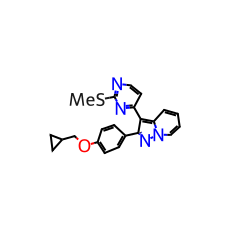 CSc1nccc(-c2c(-c3ccc(OCC4CC4)cc3)nn3ccccc23)n1